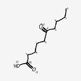 CCCCC(=O)CCCCC(=O)O